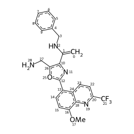 C=C(NCc1ccccc1)c1nc(-c2ccc(OC)c3nc(C(F)(F)F)ccc23)oc1CN